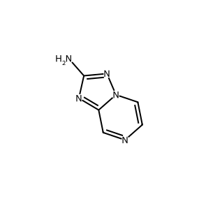 Nc1nc2cnccn2n1